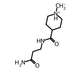 [CH2-][NH+]1CCC(C(=O)NCCC(N)=O)CC1